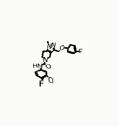 Cn1nc(COc2ccc(F)cc2)c2c1CCN(C(=O)Nc1ccc(F)c(Cl)c1)C2